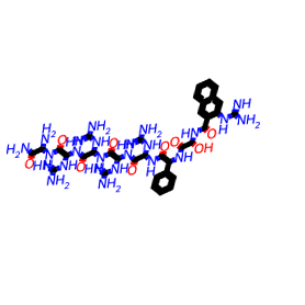 N=C(N)Nc1cc2ccccc2cc1C(=O)NC(O)C(=O)NC(C(=O)NC(NC(=N)N)C(=O)NC(NC(=N)N)C(=O)NC(NC(=N)N)C(=O)NC(NC(=N)N)C(=O)NC(N)C(N)=O)c1ccccc1